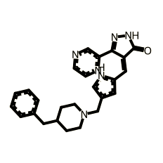 O=C1NN=C(c2cnccn2)/C1=C\c1cc(CN2CCC(Cc3ccccc3)CC2)c[nH]1